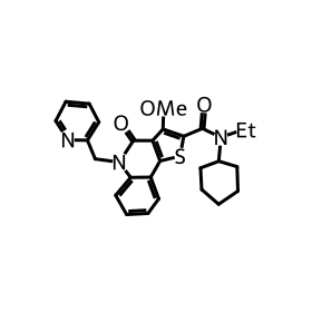 CCN(C(=O)c1sc2c(c1OC)c(=O)n(Cc1ccccn1)c1ccccc21)C1CCCCC1